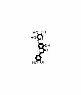 O=c1cc(-c2ccc(O)c(O)c2)oc2cc(O[C@@H]3OC[C@@H](O)[C@H](O)[C@H]3O)cc(O)c12